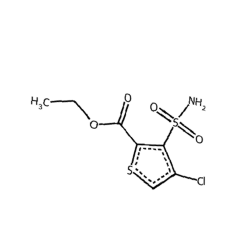 CCOC(=O)c1scc(Cl)c1S(N)(=O)=O